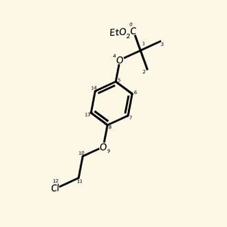 CCOC(=O)C(C)(C)Oc1ccc(OCCCl)cc1